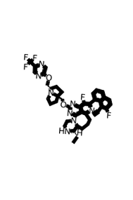 C#Cc1c(F)ccc2cccc(-c3nc4c5c(nc(OC[C@@]67CCCN6[C@H](COc6cnc(C(F)(F)F)cn6)CC7)nc5c3F)N3CCN[C@@H](CC)[C@H]3CCC4)c12